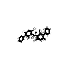 O=S(=O)(c1c(F)cc(F)c(-c2ccccc2)c1F)c1c(F)cc(F)c(-c2ccccc2)c1F